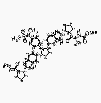 COC(=O)N[C@H](C(=O)N1CCC[C@H]1c1nc2ccc([C@H]3CC[C@H](c4ccc5nc([C@@H]6CCCN6C(=O)[CH]C(C)C)[nH]c5c4)N3c3ccc(N(C)S(C)(=O)=O)nc3)cc2[nH]1)C(C)C